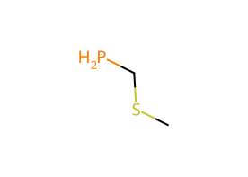 CSCP